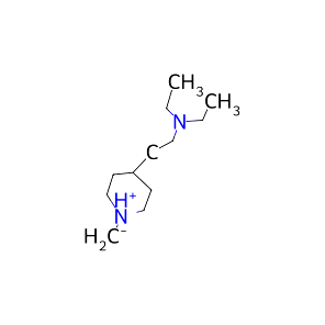 [CH2-][NH+]1CCC(CCN(CC)CC)CC1